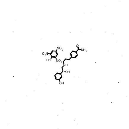 C[C@H](CCc1ccc(C(N)=O)cc1)NC[C@H](O)c1cccc(O)c1.O=[N+]([O-])c1cc([N+](=O)[O-])c(O)c([N+](=O)[O-])c1